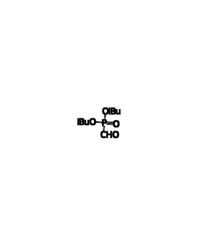 CC(C)COP(=O)(C=O)OCC(C)C